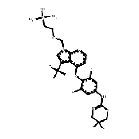 C[Si](C)(C)CCOCn1cc(C(F)(F)F)c2c(Oc3c(F)cc(NC4=NCC(F)(F)CO4)cc3F)ccnc21